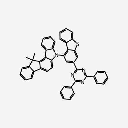 CC1(C)c2ccccc2-c2ccc3c(c21)c1ccccc1n3-c1cc(-c2nc(-c3ccccc3)nc(-c3ccccc3)n2)cc2sc3ccccc3c12